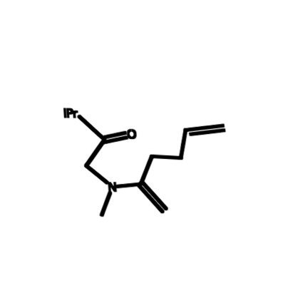 C=CCCC(=C)N(C)CC(=O)C(C)C